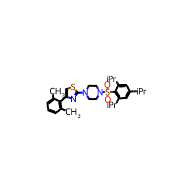 Cc1cccc(C)c1-c1csc(N2CCN(S(=O)(=O)c3c(C(C)C)cc(C(C)C)cc3C(C)C)CC2)n1